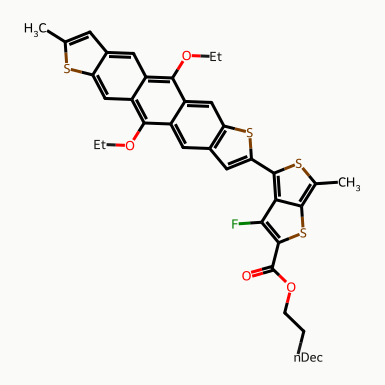 CCCCCCCCCCCCOC(=O)c1sc2c(C)sc(-c3cc4cc5c(OCC)c6cc7sc(C)cc7cc6c(OCC)c5cc4s3)c2c1F